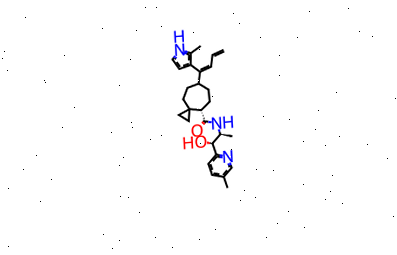 C=C/C=C(\c1cc[nH]c1C)C1CC[C@H](C(=O)N[C@@H](C)[C@H](O)c2ccc(C)cn2)C2(CC1)CC2